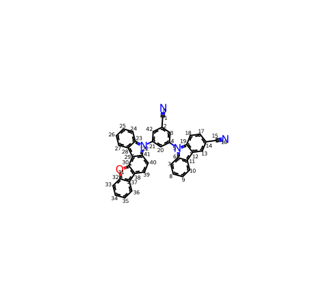 N#Cc1cc(-n2c3ccccc3c3cc(C#N)ccc32)cc(-n2c3ccccc3c3c4oc5ccccc5c4ccc32)c1